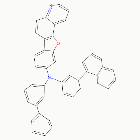 C1=CC(N(c2cccc(-c3ccccc3)c2)c2ccc3c(c2)oc2c4cccnc4ccc32)=CC(c2cccc3ccccc23)C1